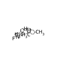 C[C@H]1CC[C@@]2(C)C(=CC[C@H]3C4=CC=C(c5ccc(F)nc5)[C@@]4(C)CC[C@@H]32)C1